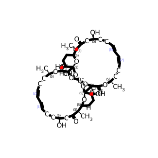 C[C@@H]1C(=O)C[C@@H](O)CC/C=C/C=C\CC[C@H](C)OC(=O)[C@@H]2O[B-]34O[C@@H](C(=O)O[C@@H](C)CC/C=C\C=C\CC[C@H](O)CC(=O)[C@@H](C)[C@@H]5CC[C@](C)(O)[C@]2(O5)O3)[C@@]2(O[C@H]1CC[C@]2(C)O)O4